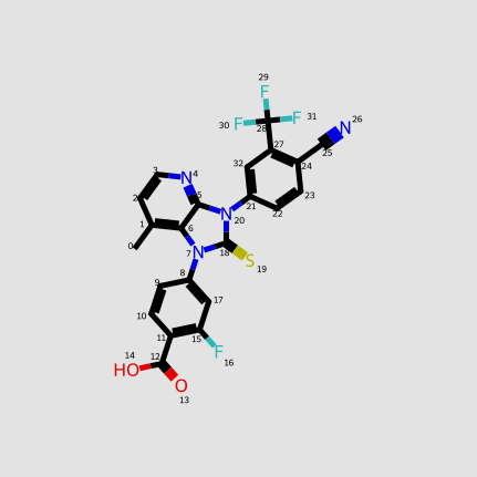 Cc1ccnc2c1n(-c1ccc(C(=O)O)c(F)c1)c(=S)n2-c1ccc(C#N)c(C(F)(F)F)c1